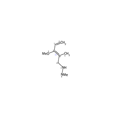 C=C/C(OC)=C(\C)CNNC